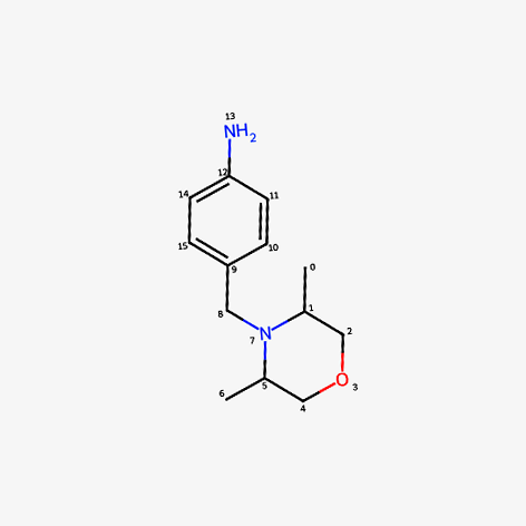 CC1COCC(C)N1Cc1ccc(N)cc1